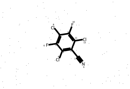 N#Cc1c(Cl)c(F)c(Cl)c(F)c1Cl